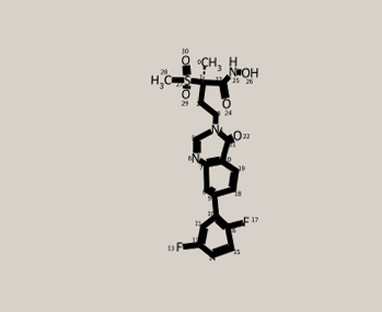 C[C@@](CCn1cnc2cc(-c3cc(F)ccc3F)ccc2c1=O)(C(=O)NO)S(C)(=O)=O